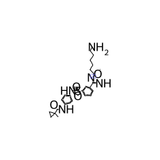 CO/C(CCCCCN)=N\C(=N)c1cccc(S(=O)(=O)Nc2ccc(NC(=O)C3(C)CC3)cc2)c1